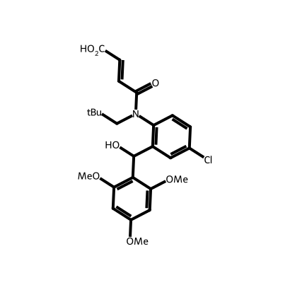 COc1cc(OC)c(C(O)c2cc(Cl)ccc2N(CC(C)(C)C)C(=O)/C=C/C(=O)O)c(OC)c1